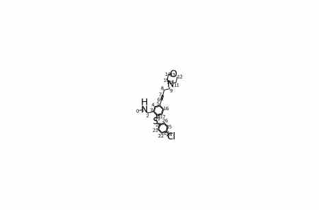 CNCc1cc(C#CCCN2CCOCC2)ccc1Sc1ccc(Cl)cc1